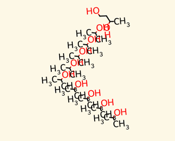 CC(C)O.CC(C)O.CC(C)O.CC(C)O.CC(C)O.CC(C)O.CC(C)O.CC(C)O.CC(C)O.CC(O)CCO